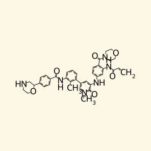 C=CC(=O)Nc1cc(Nc2cc(-c3cccc(NC(=O)c4ccc(C5CNCCO5)cc4)c3C)cn(C)c2=O)ccc1C(=O)N1CCOCC1